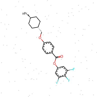 CCC[C@H]1CC[C@H](COc2ccc(C(=O)Oc3cc(F)c(F)c(F)c3)cc2)CC1